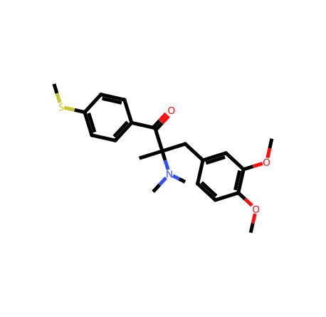 COc1ccc(CC(C)(C(=O)c2ccc(SC)cc2)N(C)C)cc1OC